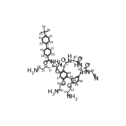 C[C@@H]1NC(=O)[C@@H](N(C)C(=O)[C@H](CCCCN)NC(=O)c2ccc(-c3ccc(C(C)(C)C)cc3)cc2)c2ccc(OCCN)c(c2)-c2cc(ccc2OCCN)C[C@@H](C(=O)NCC#N)NC1=O